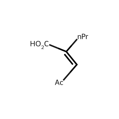 CCCC(=CC(C)=O)C(=O)O